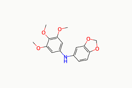 COc1cc(Nc2ccc3c(c2)OCO3)cc(OC)c1OC